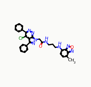 Cc1ccc(NCCCNC(=O)Cn2nc(-c3ccccc3)c3c(Cl)c(-c4ccccc4)nnc32)c2nonc12